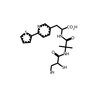 CC(C)CC(S)C(=O)NC(C)(C)C(=O)NC(Cc1ccc(-c2cccs2)nc1)C(=O)O